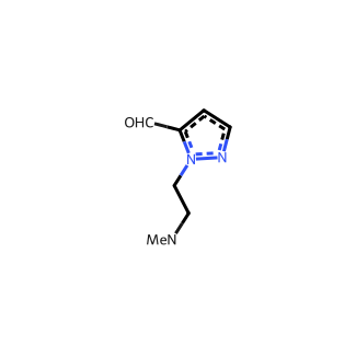 CNCCn1nccc1C=O